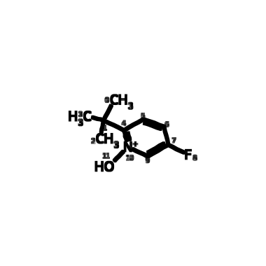 CC(C)(C)c1ccc(F)c[n+]1O